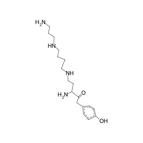 NCCCNCCCCNCCC(N)C(=O)Cc1ccc(O)cc1